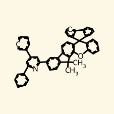 CC1(C)c2ccc(-c3cc(-c4ccccc4)cc(-c4ccccc4)n3)cc2-c2ccc3c(c21)Oc1ccccc1C31c2ccccc2-c2ccccc21